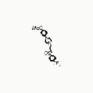 COc1ccc(N2CCN(CCC[S+]([O-])c3ccc(C(F)(F)F)cc3)CC2)cc1